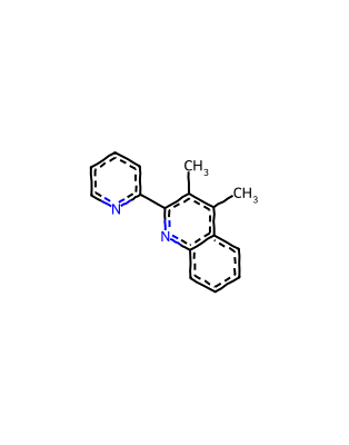 Cc1c(-c2ccccn2)nc2ccccc2c1C